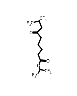 O=C(CCCCC(=O)OC(C(F)(F)F)C(F)(F)F)CC(C(F)(F)F)C(F)(F)F